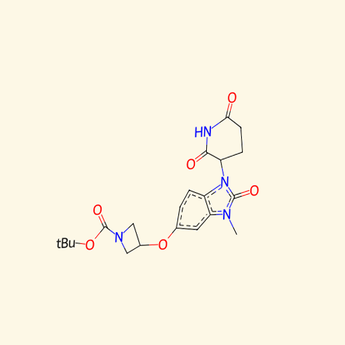 Cn1c(=O)n(C2CCC(=O)NC2=O)c2ccc(OC3CN(C(=O)OC(C)(C)C)C3)cc21